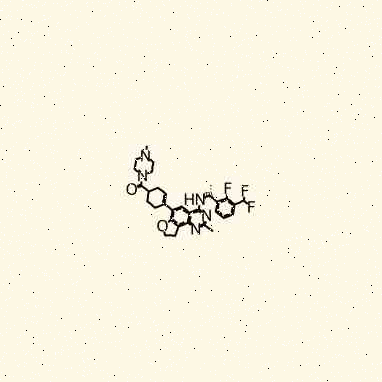 Cc1nc(N[C@H](C)c2cccc(C(F)F)c2F)c2cc(C3=CCC(C(=O)N4CCN(C)CC4)CC3)c3c(c2n1)CCO3